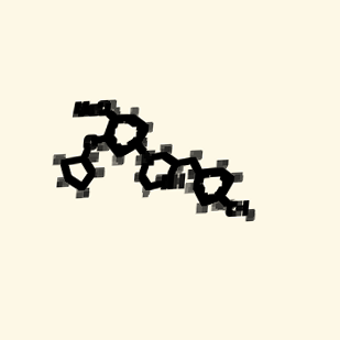 COc1ccc(N2CCNC(Cc3ccc(C)cc3)C2)cc1OC1CCCC1